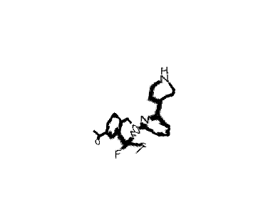 CC(=O)c1ccc(COc2cccc(C3CCNCC3)n2)c(C(F)(F)F)c1